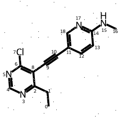 CCc1ncnc(Cl)c1C#Cc1ccc(NC)nc1